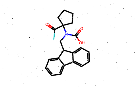 O=C(O)N(CC1c2ccccc2-c2ccccc21)C1(C(=O)F)CCCC1